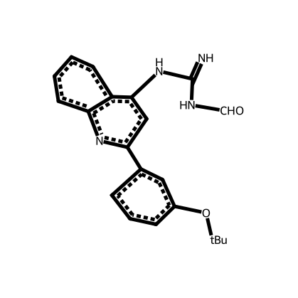 CC(C)(C)Oc1cccc(-c2cc(NC(=N)NC=O)c3ccccc3n2)c1